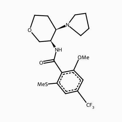 COc1cc(C(F)(F)F)cc(SC)c1C(=O)N[C@H]1COCC[C@H]1N1CCCC1